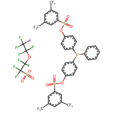 O=S(=O)(Oc1ccc([S+](c2ccccc2)c2ccc(OS(=O)(=O)c3cc(C(F)(F)F)cc(C(F)(F)F)c3)cc2)cc1)c1cc(C(F)(F)F)cc(C(F)(F)F)c1.O=S(=O)([O-])C(F)(F)C(F)(F)OC(F)(F)C(F)(F)I